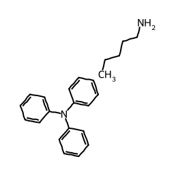 CCCCCN.c1ccc(N(c2ccccc2)c2ccccc2)cc1